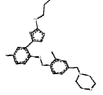 CCCNc1nc(-c2cc(C)ccc2OCc2ccc(CN3CCOCC3)cc2C)cs1